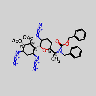 CC(=O)O[C@H]1[C@H](C2O[C@H]([C@H](C)N(Cc3ccccc3)C(=O)OCc3ccccc3)CCC2N=[N+]=[N-])C(N=[N+]=[N-])CC(N=[N+]=[N-])[C@@H]1OC(C)=O